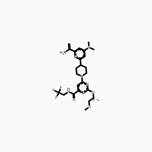 C=C(N)c1cc(N(C)C)cc(C2CCN(c3cc(C(=O)NCC(F)(F)F)nc(O[C@H](C)COC)n3)CC2)n1